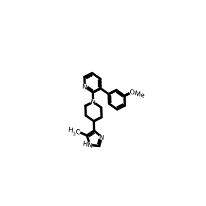 COc1cccc(-c2cccnc2N2CCC(c3nc[nH]c3C)CC2)c1